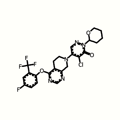 O=c1c(Cl)c(N2CCc3c(ncnc3Oc3ccc(F)cc3C(F)(F)F)C2)cnn1C1CCCCO1